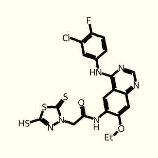 CCOc1cc2ncnc(Nc3ccc(F)c(Cl)c3)c2cc1NC(=O)Cn1nc(S)sc1=S